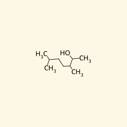 CC(C)CCC(C)C(C)O